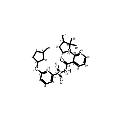 CC1CCC(Oc2cccc(S(=O)(=O)NC(=O)c3cccnc3N3CCC(C)C3(C)C)n2)C1